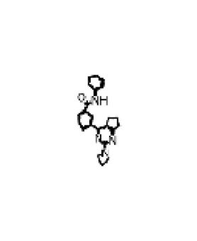 O=C(Nc1ccccc1)c1cccc(-c2nc(N3CCC3)nc3c2CCC3)c1